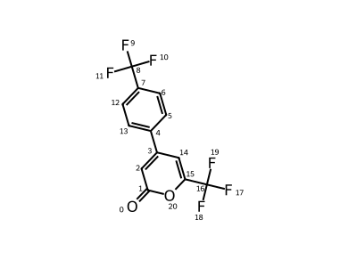 O=c1cc(-c2ccc(C(F)(F)F)cc2)cc(C(F)(F)F)o1